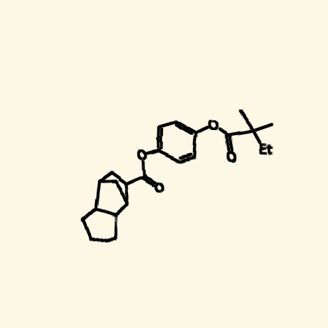 CCC(C)(C)C(=O)Oc1ccc(OC(=O)C2CC3CC2C2CCCC32)cc1